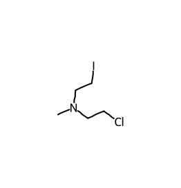 CN(CCCl)CCI